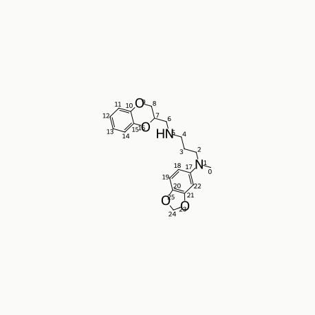 CN(CCCNCC1COc2ccccc2O1)c1ccc2c(c1)OCO2